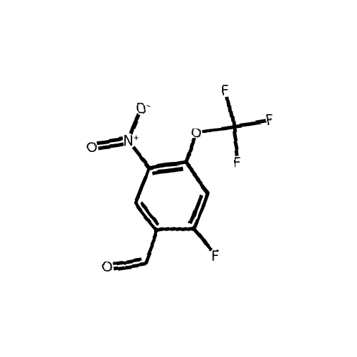 O=Cc1cc([N+](=O)[O-])c(OC(F)(F)F)cc1F